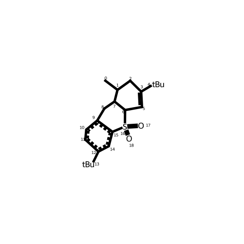 CC1CC(C(C)(C)C)=CC2C1Cc1ccc(C(C)(C)C)cc1S2(=O)=O